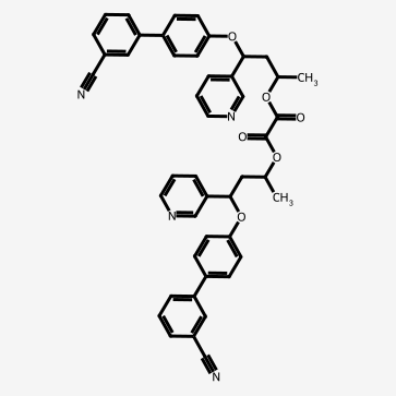 CC(CC(Oc1ccc(-c2cccc(C#N)c2)cc1)c1cccnc1)OC(=O)C(=O)OC(C)CC(Oc1ccc(-c2cccc(C#N)c2)cc1)c1cccnc1